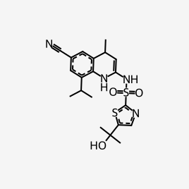 CC(C)c1cc(C#N)cc2c1NC(NS(=O)(=O)c1ncc(C(C)(C)O)s1)=CC2C